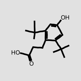 CC(C)(C)c1cc(O)cc(C(C)(C)C)c1CCC(=O)O